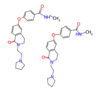 CCNC(=O)c1ccc(Oc2ccc3c(c2)CCN(CCN2CCCC2)C3=O)cc1.CNC(=O)c1ccc(Oc2ccc3c(c2)CCN(CCN2CCCC2)C3=O)cc1